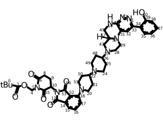 CC(C)(C)C(=O)OCN1C(=O)CCC(N2C(=O)c3cccc(N4CCC(N5CCC(N6CCN7c8cc(-c9ccccc9O)nnc8NC[C@H]7C6)CC5)CC4)c3C2=O)C1=O